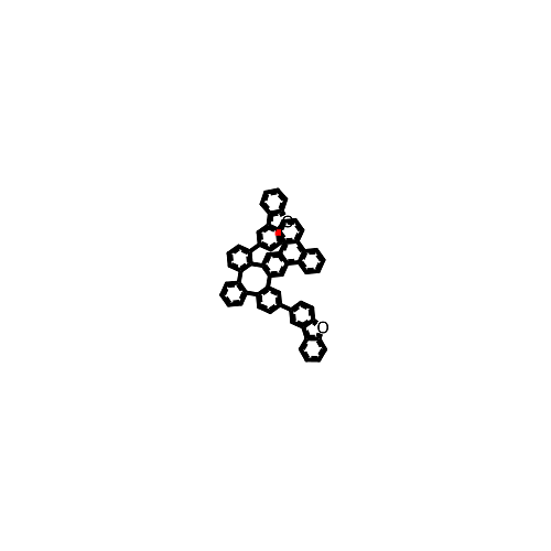 c1ccc2c(c1)-c1ccc(-c3ccc4oc5ccccc5c4c3)cc1-c1cc3c4ccccc4c4ccccc4c3cc1-c1c(-c3ccc4oc5ccccc5c4c3)cccc1-2